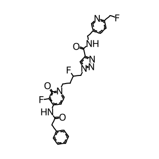 O=C(Cc1ccccc1)Nc1ccn(CCC(F)Cn2cc(C(=O)NCc3ccc(CF)nc3)nn2)c(=O)c1F